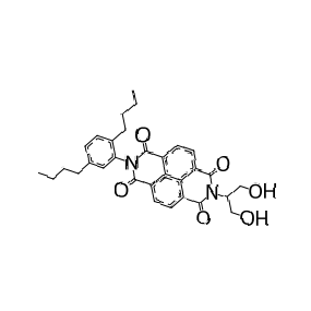 CCCCc1ccc(CCCC)c(N2C(=O)c3ccc4c5c(ccc(c35)C2=O)C(=O)N(C(CO)CO)C4=O)c1